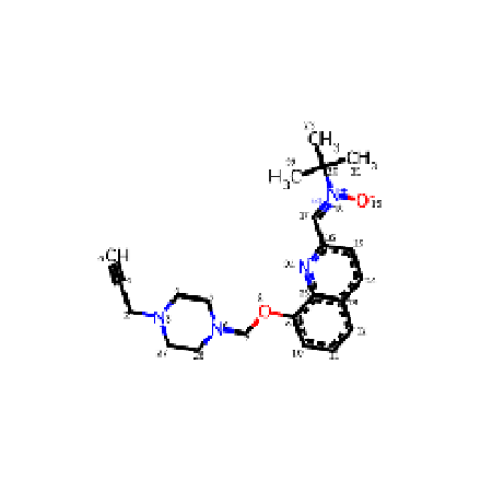 C#CCN1CCN(COc2cccc3ccc(/C=[N+](\[O-])C(C)(C)C)nc23)CC1